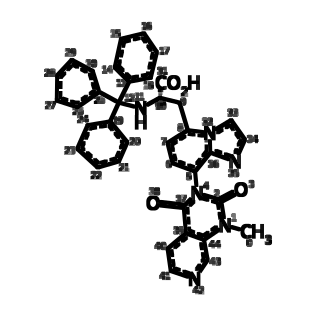 Cn1c(=O)n(-c2ccc(C[C@H](NC(c3ccccc3)(c3ccccc3)c3ccccc3)C(=O)O)n3ccnc23)c(=O)c2ccncc21